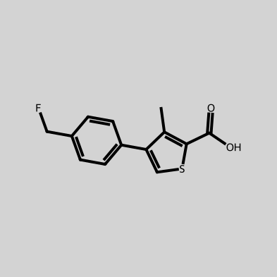 Cc1c(-c2ccc(CF)cc2)csc1C(=O)O